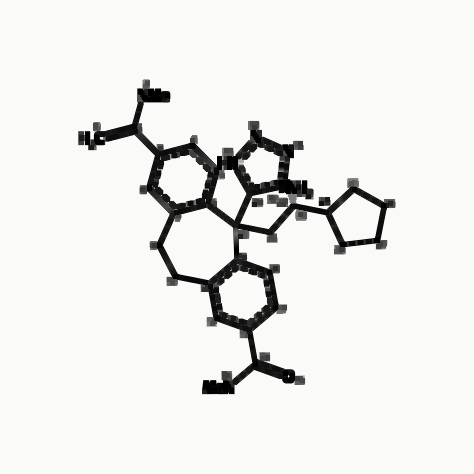 C=C(NC)c1ccc2c(c1)CCc1cc(C(=O)NC)ccc1C2(C[C@H](N)C1CCCC1)c1nnn[nH]1